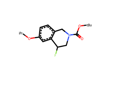 CC(C)Oc1ccc2c(c1)C(F)CN(C(=O)OC(C)(C)C)C2